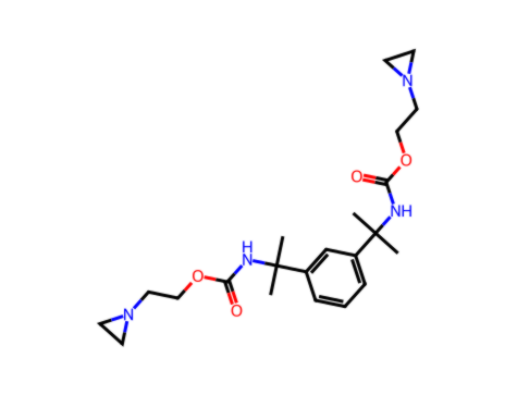 CC(C)(NC(=O)OCCN1CC1)c1cccc(C(C)(C)NC(=O)OCCN2CC2)c1